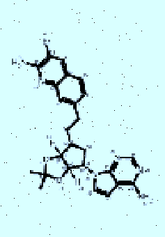 CC1(C)O[C@@H]2[C@@H](CCc3ccc4cc(Br)c(N)nc4c3)C[C@@H](n3ccc4c(N)ncnc43)[C@@H]2O1